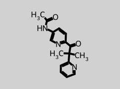 CC(=O)Nc1ccc(C(=O)C(C)(C)c2ccccn2)nc1